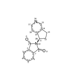 O=C1c2ccccc2C(=O)N1[C@@H]1CCc2cnccc21